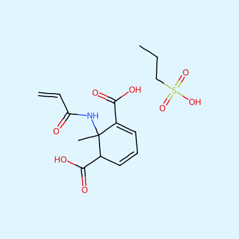 C=CC(=O)NC1(C)C(C(=O)O)=CC=CC1C(=O)O.CCCS(=O)(=O)O